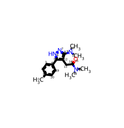 Cc1ccc(-c2[nH]nc(N(C)C)c2CC(=O)N(C)C)cc1